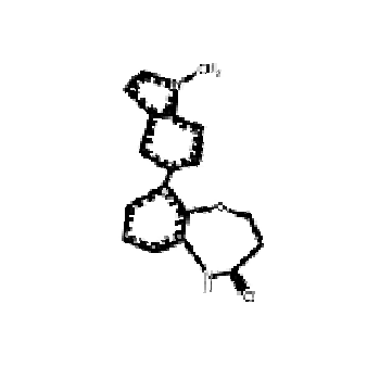 Cn1ccc2cc(-c3cccc4c3OCCC(=O)N4)ccc21